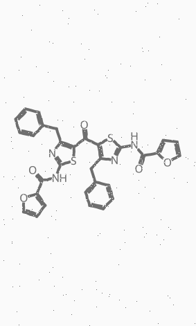 O=C(Nc1nc(Cc2ccccc2)c(C(=O)c2sc(NC(=O)c3ccco3)nc2Cc2ccccc2)s1)c1ccco1